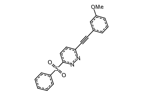 COc1cccc(C#Cc2ccc(S(=O)(=O)c3ccccc3)nn2)c1